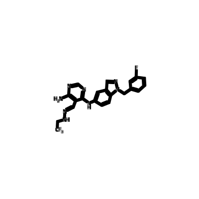 Nc1ncnc(Nc2ccc3c(cnn3Cc3cccc(F)c3)c2)c1C=NNCC(F)(F)F